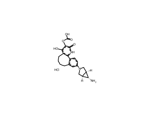 Cl.N[C@@H]1[C@H]2CN(c3ccc4c(c3)CCCCc3c-4[nH]c(=O)c(OC(=O)O)c3O)C[C@@H]12